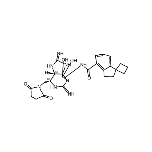 N=C1N[C@H]2[C@H](CN3C(=O)CCC3=O)NC(=N)N3CC(NC(=O)c4cccc5c4CCC54CCC4)C(O)(O)C23N1